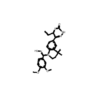 CCC1SC(=O)NN=C1c1ccc2c(c1)C(C)(C)CCN2C(=NO)c1ccc(OC)c(OC)c1